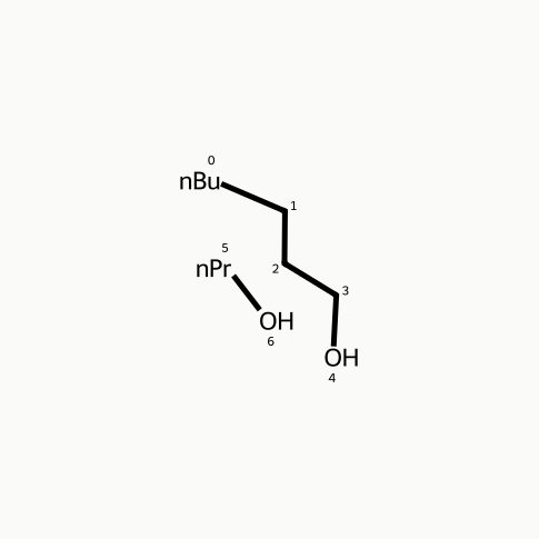 CCCCCCCO.CCCO